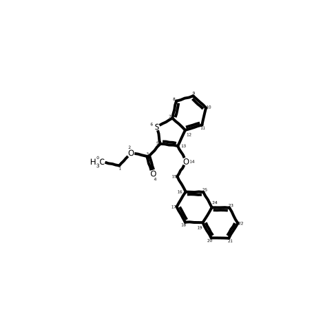 CCOC(=O)c1sc2ccccc2c1OCc1ccc2ccccc2c1